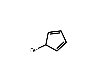 [Fe+][CH]1C=CC=C1